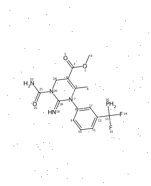 COC(=O)C1=C(C)N(c2cccc(C(F)(F)P)c2)C(=N)N(C(N)=O)C1